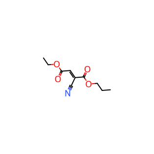 CCCOC(=O)C(C#N)=CC(=O)OCC